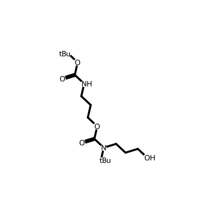 CC(C)(C)OC(=O)NCCCOC(=O)N(CCCO)C(C)(C)C